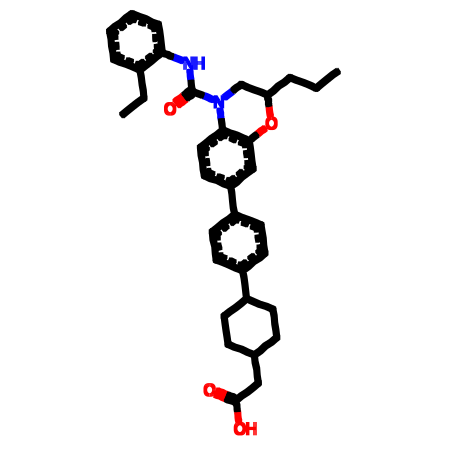 CCCC1CN(C(=O)Nc2ccccc2CC)c2ccc(-c3ccc(C4CCC(CC(=O)O)CC4)cc3)cc2O1